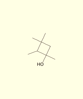 CC1C(C)(C)CC1(C)O